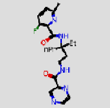 CCCC(CC)(CCNC(=O)c1cnccn1)NC(=O)c1nc(C)ccc1F